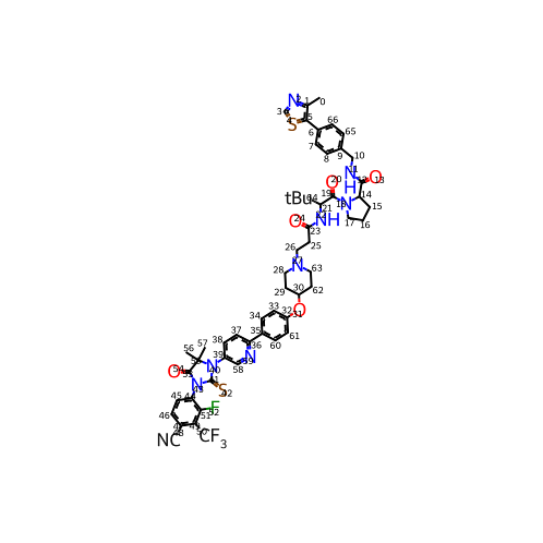 Cc1ncsc1-c1ccc(CNC(=O)C2CCCN2C(=O)C(NC(=O)CCN2CCC(Oc3ccc(-c4ccc(N5C(=S)N(c6ccc(C#N)c(C(F)(F)F)c6F)C(=O)C5(C)C)cn4)cc3)CC2)C(C)(C)C)cc1